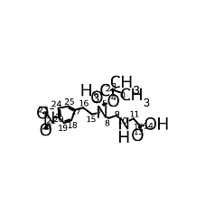 CC(C)(C)OC(=O)N(CCNCC(=O)O)CCc1ccc([N+](=O)[O-])cc1